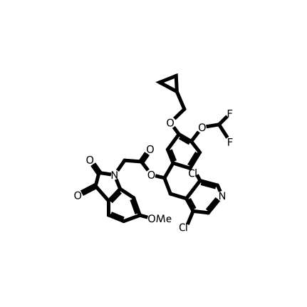 COc1ccc2c(c1)N(CC(=O)OC(Cc1c(Cl)cncc1Cl)c1ccc(OC(F)F)c(OCC3CC3)c1)C(=O)C2=O